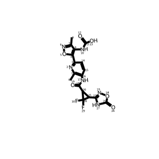 Cc1nc(-c2onc(C)c2NC(=O)O)ccc1NC(=O)C1C(c2noc(=O)[nH]2)C1(F)F